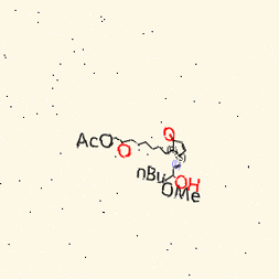 CCCCC(OC)C(O)/C=C/[C@H]1C=CC(=O)[C@@H]1CCCCCCC(=O)COC(C)=O